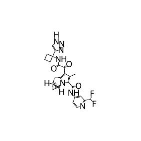 Cc1c(C(=O)C(=O)NC2(c3c[nH]nn3)CCC2)c2n(c1C(=O)Nc1ccnc(C(F)F)c1)[C@@H]1C[C@@H]1C2